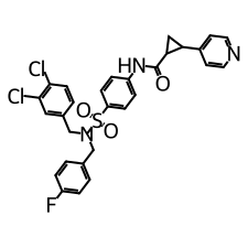 O=C(Nc1ccc(S(=O)(=O)N(Cc2ccc(F)cc2)Cc2ccc(Cl)c(Cl)c2)cc1)C1CC1c1ccncc1